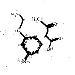 CC(=O)CC(=O)O.CCOc1cccc(N)c1